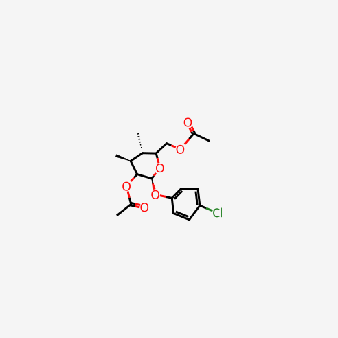 CC(=O)OCC1O[C@@H](Oc2ccc(Cl)cc2)C(OC(C)=O)[C@@H](C)[C@@H]1C